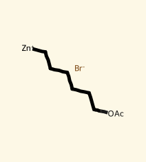 CC(=O)OCCCCC[CH2][Zn+].[Br-]